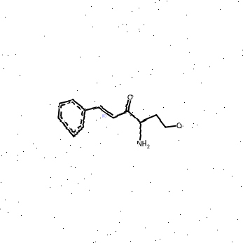 NC(CC[O])C(=O)/C=C/c1ccccc1